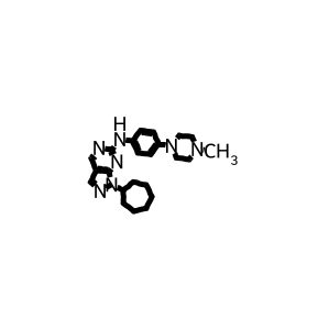 CN1CCN(c2ccc(Nc3ncc4cnn(C5CCCCCC5)c4n3)cc2)CC1